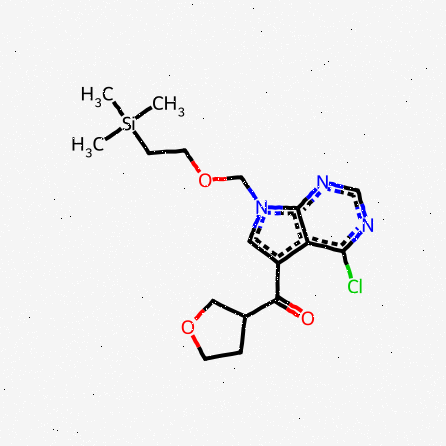 C[Si](C)(C)CCOCn1cc(C(=O)C2CCOC2)c2c(Cl)ncnc21